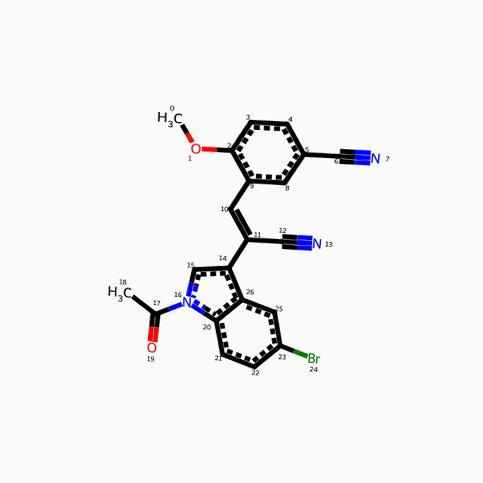 COc1ccc(C#N)cc1C=C(C#N)c1cn(C(C)=O)c2ccc(Br)cc12